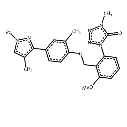 CCn1cc(C)c(-c2ccc(OCc3c(OC)cccc3-n3nnn(C)c3=O)c(C)c2)n1